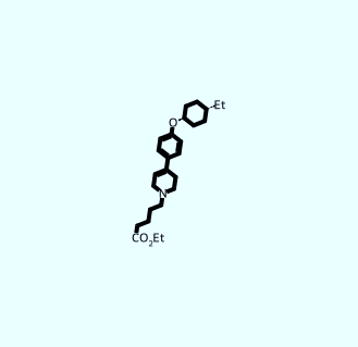 CCOC(=O)CCCCN1CC=C(c2ccc(O[C@H]3CC[C@@H](CC)CC3)cc2)CC1